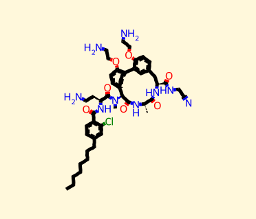 CCCCCCCCc1ccc(C(=O)N[C@@H](CCN)C(=O)N(C)[C@@H]2C(=O)N[C@@H](C)C(=O)N[C@H](C(=O)NCC#N)Cc3ccc(OCCN)c(c3)-c3cc2ccc3OCCN)c(Cl)c1